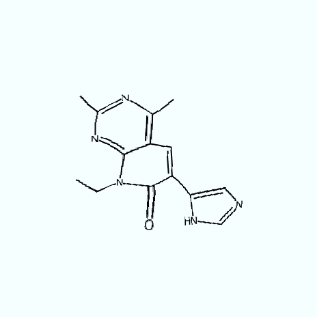 CCn1c(=O)c(-c2cnc[nH]2)cc2c(C)nc(C)nc21